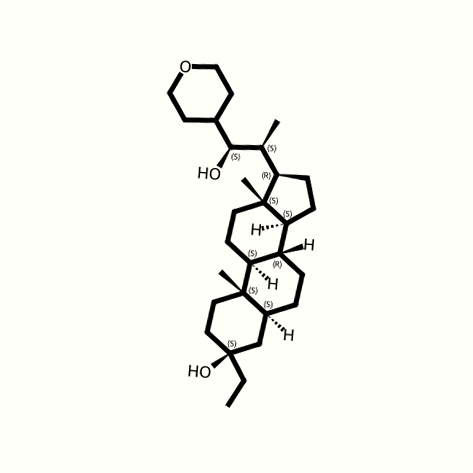 CC[C@]1(O)CC[C@@]2(C)[C@@H](CC[C@@H]3[C@@H]2CC[C@]2(C)[C@@H]([C@H](C)[C@@H](O)C4CCOCC4)CC[C@@H]32)C1